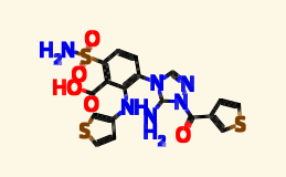 NC1N(C(=O)c2ccsc2)N=CN1c1ccc(S(N)(=O)=O)c(C(=O)O)c1Nc1ccsc1